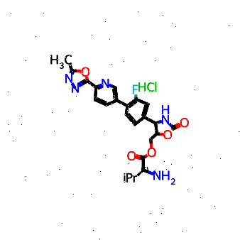 Cc1nnc(-c2ccc(-c3ccc(C4NC(=O)OC4COC(=O)[C@@H](N)C(C)C)cc3F)cn2)o1.Cl